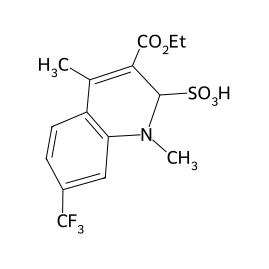 CCOC(=O)C1=C(C)c2ccc(C(F)(F)F)cc2N(C)C1S(=O)(=O)O